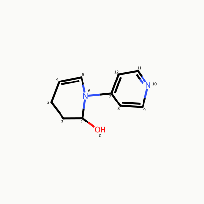 OC1CCC=CN1c1ccncc1